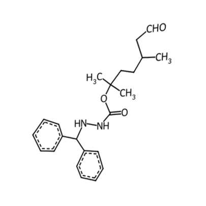 CC(CC=O)CCC(C)(C)OC(=O)NNC(c1ccccc1)c1ccccc1